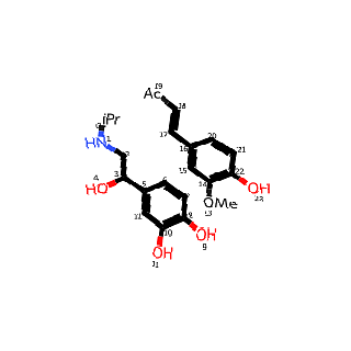 CC(C)NCC(O)c1ccc(O)c(O)c1.COc1cc(C=CC(C)=O)ccc1O